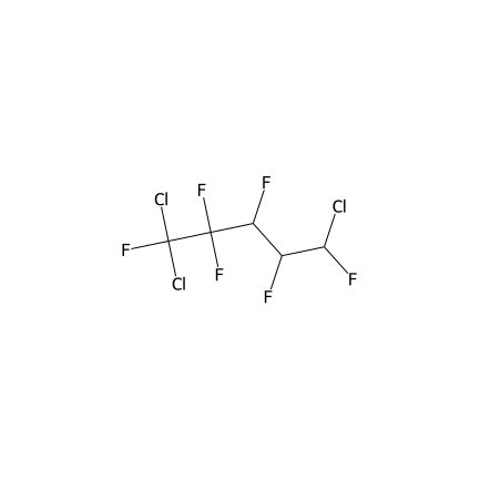 FC(Cl)C(F)C(F)C(F)(F)C(F)(Cl)Cl